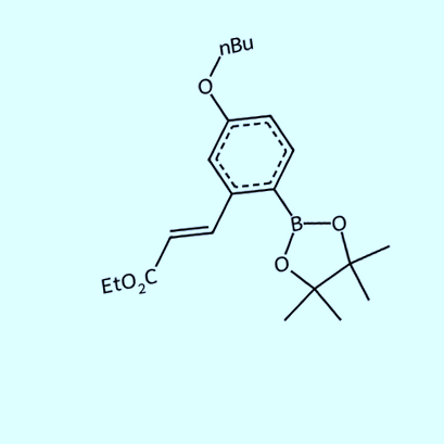 CCCCOc1ccc(B2OC(C)(C)C(C)(C)O2)c(/C=C/C(=O)OCC)c1